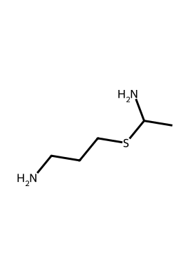 CC(N)SCCCN